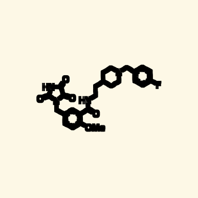 COc1ccc(CN2C(=O)NC(=O)C2=O)cc1C(=O)NCCC1CCN(Cc2ccc(F)cc2)CC1